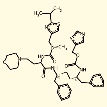 CC(C)c1nc(CN(C)C(=O)NC(CCN2CCOCC2)C(=O)N[C@H](CC[C@@H](Cc2ccccc2)NC(=O)OCc2cncs2)Cc2ccccc2)cs1